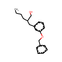 CCCCC(CO)Cc1cccc(OCc2ccccc2)c1